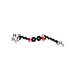 C=CCCCCCCC1COC(c2ccc(-c3ccc(OCCCCCC(C)CC)cc3)cc2)OC1